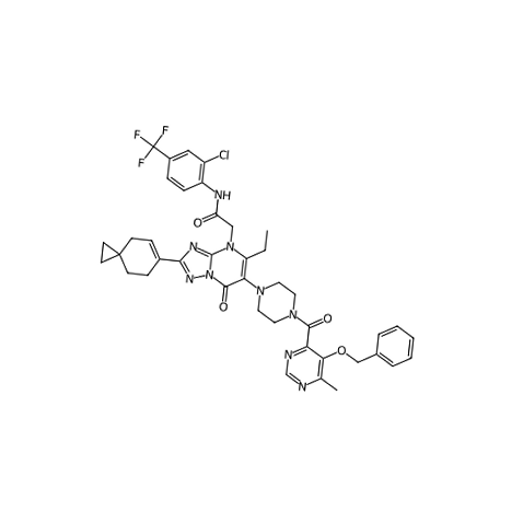 CCc1c(N2CCN(C(=O)c3ncnc(C)c3OCc3ccccc3)CC2)c(=O)n2nc(C3=CCC4(CC3)CC4)nc2n1CC(=O)Nc1ccc(C(F)(F)F)cc1Cl